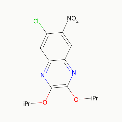 CC(C)Oc1nc2cc(Cl)c([N+](=O)[O-])cc2nc1OC(C)C